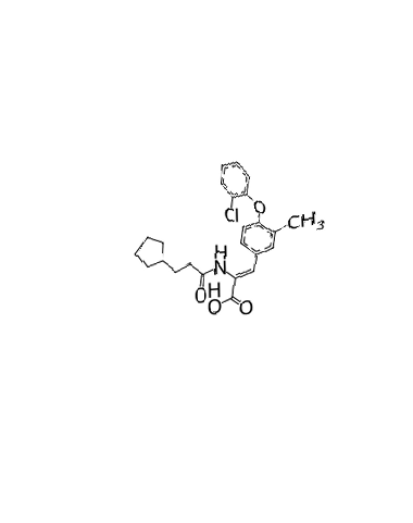 Cc1cc(C=C(NC(=O)CCC2CCCC2)C(=O)O)ccc1Oc1ccccc1Cl